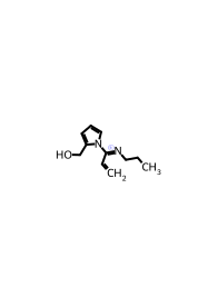 C=C/C(=N\CCC)n1cccc1CO